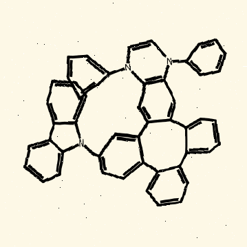 c1ccc(-n2ccn(-c3ccccc3)c3cc4c5cc(-n6c7ccccc7c7ccccc76)ccc5c5ccccc5c5ccccc5c4cc32)cc1